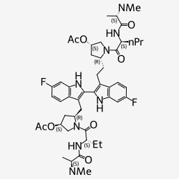 CCC[C@H](NC(=O)[C@H](C)NC)C(=O)N1C[C@@H](OC(C)=O)C[C@H]1CCc1c(-c2[nH]c3cc(F)ccc3c2C[C@@H]2C[C@H](OC(C)=O)CN2C(=O)[C@H](CC)NC(=O)[C@H](C)NC)[nH]c2cc(F)ccc12